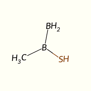 BB(C)S